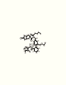 CCCCC1=NC2(CC3CC(=O)CC3C2)C(=O)N1Cc1ccc(-c2ccccc2S(=O)(=O)Nc2noc(C)c2C)c(COCC)c1